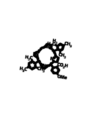 COc1ccc(-c2c3nc(c(-c4c(C)cc(C)cc4C)c4ccc(cc5nc(c(-c6c(C)cc(C)cc6C)c6ccc2[nH]6)C=C5)[nH]4)C=C3)c(C(=O)O)c1